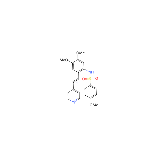 COc1ccc(S(=O)(=O)Nc2cc(OC)c(OC)cc2/C=C/c2ccncc2)cc1